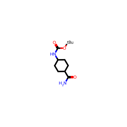 CC(C)(C)OC(=O)NC1CCC(C(N)=O)CC1